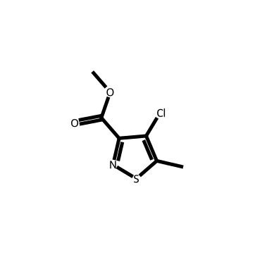 COC(=O)c1nsc(C)c1Cl